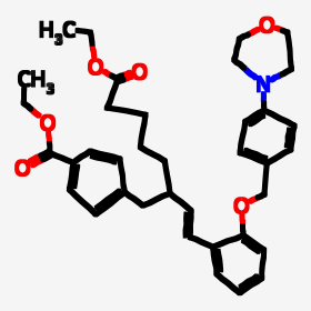 CCOC(=O)CCCCC(C=Cc1ccccc1OCc1ccc(N2CCOCC2)cc1)Cc1ccc(C(=O)OCC)cc1